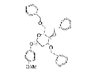 COc1ccc(O[C@H]2CC(OCc3ccccc3)[C@H](OCc3ccccc3)C(COCc3ccccc3)O2)cc1